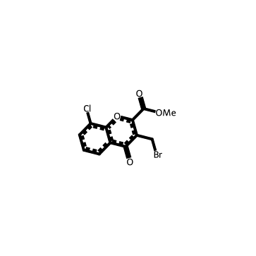 COC(=O)c1oc2c(Cl)cccc2c(=O)c1CBr